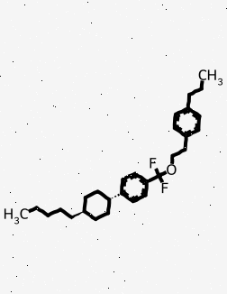 CCCCC[C@H]1CC[C@H](c2ccc(C(F)(F)OCCc3ccc(CCC)cc3)cc2)CC1